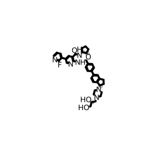 Nc1ncc(-c2cccnc2F)cc1C(=O)N[C@H]1CCC[C@@H]1OCc1ccc(-c2ccc3c(c2)CC[C@@H]3N2CCN(C[C@H](O)CO)CC2)cc1